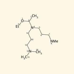 CCOC(C)N(CCCNC)CCCN(C)C